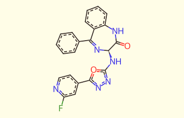 O=C1Nc2ccccc2C(c2ccccc2)=N[C@@H]1Nc1nnc(-c2ccnc(F)c2)o1